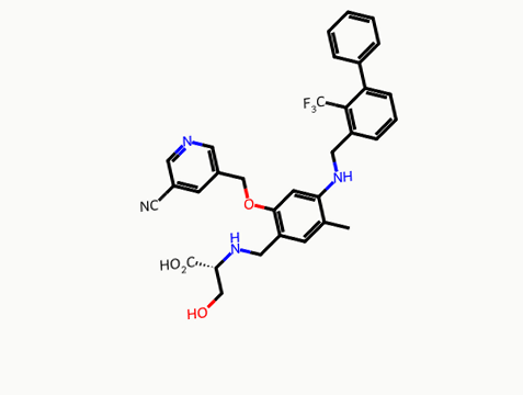 Cc1cc(CN[C@H](CO)C(=O)O)c(OCc2cncc(C#N)c2)cc1NCc1cccc(-c2ccccc2)c1C(F)(F)F